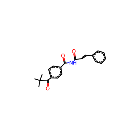 CC(C)(C)C(=O)c1ccc(C(=O)NC(=O)C=Cc2ccccc2)cc1